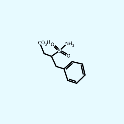 NS(=O)(=O)C(CC(=O)O)Cc1ccccc1